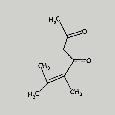 CC(=O)CC(=O)C(C)=C(C)C